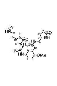 CO[C@H]1CC[C@H](NC(C)CC2CC(CCNC(C)C)NC2=O)CC1CC(C)NC[C@H]1CCC(=O)N1